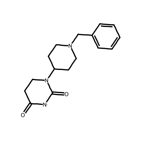 O=C1CCN(C2CCN(Cc3ccccc3)CC2)C(=O)[N]1